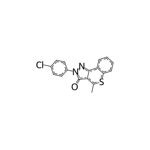 Cc1sc2ccccc2c2nn(-c3ccc(Cl)cc3)c(=O)c1-2